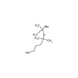 CC(C)(CCCO)O[Si](C)(C)C(C)(C)C